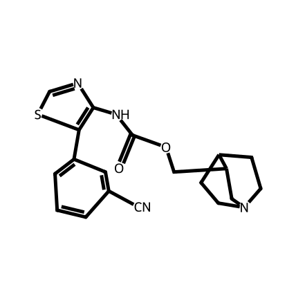 N#Cc1cccc(-c2scnc2NC(=O)OCC2CN3CCC2CC3)c1